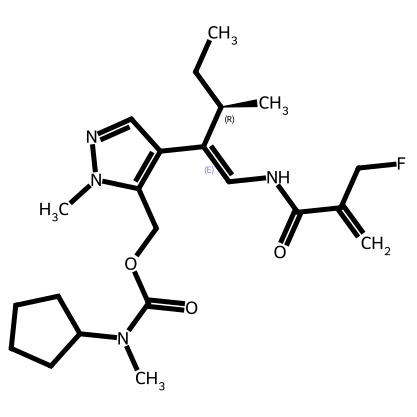 C=C(CF)C(=O)N/C=C(/c1cnn(C)c1COC(=O)N(C)C1CCCC1)[C@H](C)CC